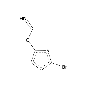 N=COc1ccc(Br)s1